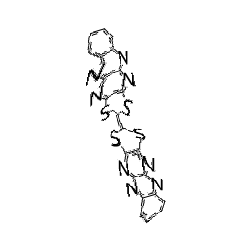 c1ccc2nc3nc4c(nc3nc2c1)SC(=C1Sc2nc3nc5ccccc5nc3nc2S1)S4